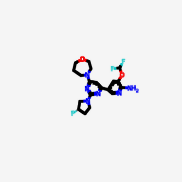 Nc1ncc(-c2cc(N3CCCOCC3)nc(N3CC[C@H](F)C3)n2)cc1OC(F)F